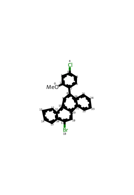 COc1cc(Cl)ccc1-c1cc2c3ccccc3c(Br)cc2c2ccccc12